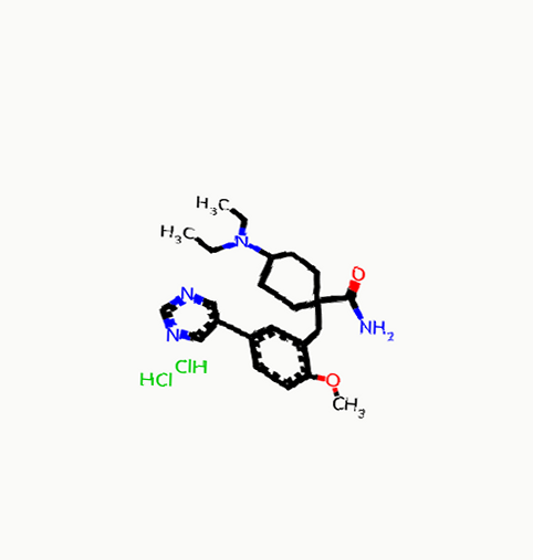 CCN(CC)C1CCC(Cc2cc(-c3cncnc3)ccc2OC)(C(N)=O)CC1.Cl.Cl